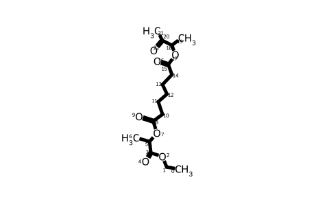 CCOC(=O)C(C)OC(=O)CCCCCC(=O)OC(C)C(C)=O